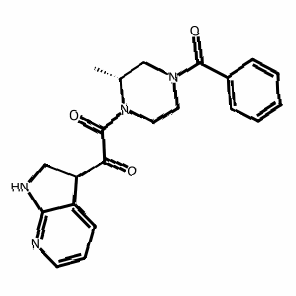 C[C@@H]1CN(C(=O)c2ccccc2)CCN1C(=O)C(=O)C1CNc2ncccc21